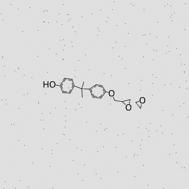 C1CO1.CC(C)(c1ccc(O)cc1)c1ccc(OCC2CO2)cc1